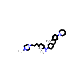 C=C(/C=C\C(C)NC1CCC(Cc2cc(N3CCCCCC3)ccc2C)CC1)CCCN1CCN(C)CC1